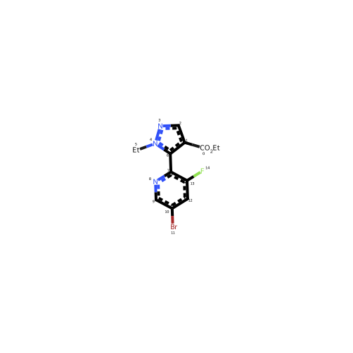 CCOC(=O)c1cnn(CC)c1-c1ncc(Br)cc1F